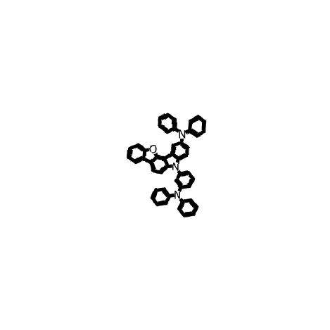 c1ccc(N(c2ccccc2)c2cccc(-n3c4ccc(N(c5ccccc5)c5ccccc5)cc4c4c5oc6ccccc6c5ccc43)c2)cc1